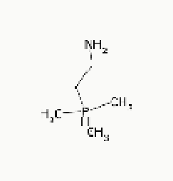 C[PH](C)(C)CCN